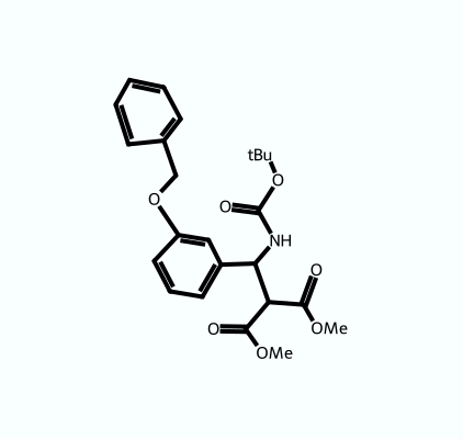 COC(=O)C(C(=O)OC)C(NC(=O)OC(C)(C)C)c1cccc(OCc2ccccc2)c1